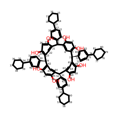 Oc1cc(O)c2cc1C(c1ccc(C3CCCCC3)cc1)c1cc(c(O)cc1O)[C@H](c1ccc(C3CCCCC3)cc1)c1cc(c(O)cc1O)[C@H](c1ccc(C3CCCCC3)cc1)c1cc(c(O)cc1O)[C@@H]2c1ccc(C2CCCCC2)cc1